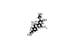 Cc1nnc(N[C@H](C)c2cccc(C(F)(F)CO)c2F)c2cc(N3CC(O)C3)c(O)nc12